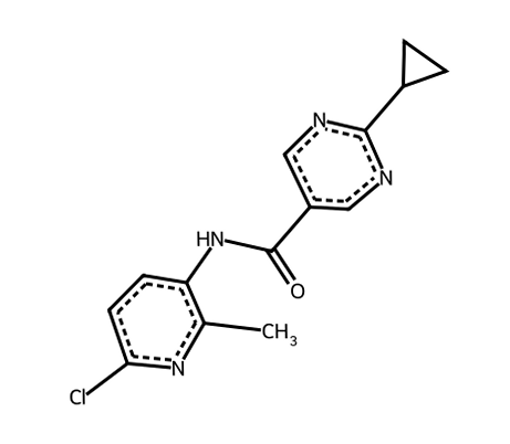 Cc1nc(Cl)ccc1NC(=O)c1cnc(C2CC2)nc1